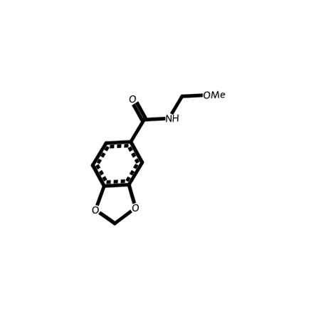 COCNC(=O)c1ccc2c(c1)OCO2